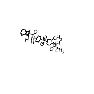 C=CC(=O)NC1CCN(S(=O)(=O)c2ccc(NC(=O)c3cc4ccccc4[nH]3)cc2)CC1C